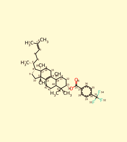 CC(C)=CCC[C@@H](C)[C@H]1CC[C@@]2(C)C3=C(CC[C@]12C)[C@@]1(C)CC[C@H](OC(=O)c2ccc(C(F)(F)F)cc2)C(C)(C)C1CC3